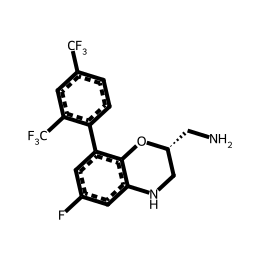 NC[C@@H]1CNc2cc(F)cc(-c3ccc(C(F)(F)F)cc3C(F)(F)F)c2O1